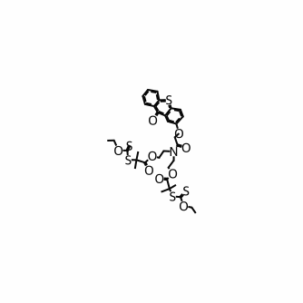 CCOC(=S)SC(C)(C)C(=O)OCCN(CCOC(=O)C(C)(C)SC(=S)OCC)C(=O)COc1ccc2sc3ccccc3c(=O)c2c1